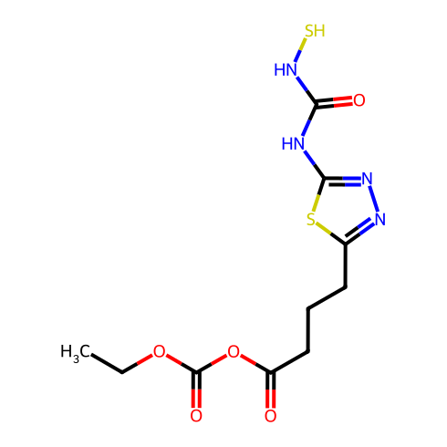 CCOC(=O)OC(=O)CCCc1nnc(NC(=O)NS)s1